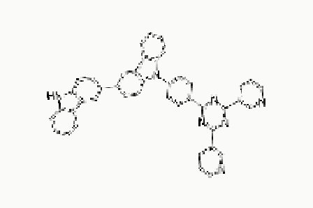 c1cncc(-c2nc(-c3ccc(-n4c5ccccc5c5cc(-c6ccc7[nH]c8ccccc8c7c6)ccc54)cc3)nc(-c3cccnc3)n2)c1